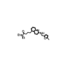 CCN(CC)C(=O)CCCc1cccc2nc(NCc3ccc(C)o3)ccc12